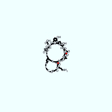 COOC(=O)C[C@@H]1NC(=O)[C@H](CC(C)C)NC(=O)[C@H](C)NC(=O)[C@@H]2CSCc3cc(cc(c3)OCCCCCCO/N=C/C(=O)N[C@@H](CCCCN)C(=O)N2)CSC[C@@H](C(N)=O)NC(=O)[C@H](CCC(=O)O)NC(=O)[C@H](Cc2ccc(O)cc2)NC(=O)[C@@H]2CCCN2C(=O)[C@H]([C@@H](C)O)NC1=O